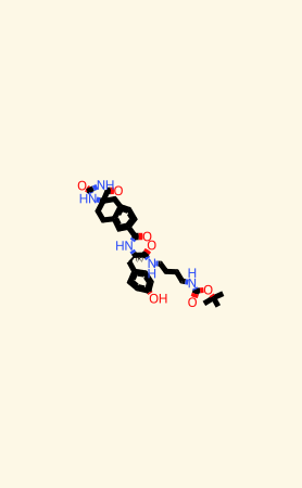 CC(C)(C)OC(=O)NCCCCNC(=O)[C@@H](Cc1ccc(O)cc1)NC(=O)c1ccc2c(c1)CCC1(C2)NC(=O)NC1=O